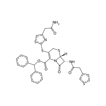 NC(=O)Cc1csc(SC2=C(C(=O)OC(c3ccccc3)c3ccccc3)N3C(=O)[C@@H](NC(=O)Cc4ccsc4)[C@H]3SC2)n1